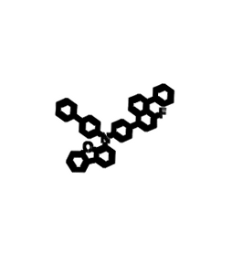 Fc1ccc(-c2ccc(N(c3ccc(-c4ccccc4)cc3)c3cccc4c3oc3ccccc34)cc2)c2cccc(-c3ccccc3)c12